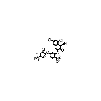 CC(Sc1cc(Oc2ncc(C(F)(F)F)cc2Cl)ccc1[N+](=O)[O-])C(=O)C(C#N)c1ccc(Cl)cc1Cl